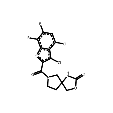 O=C1NC2(CCN(C(=O)c3sc4c(F)c(F)cc(Cl)c4c3Cl)C2)CO1